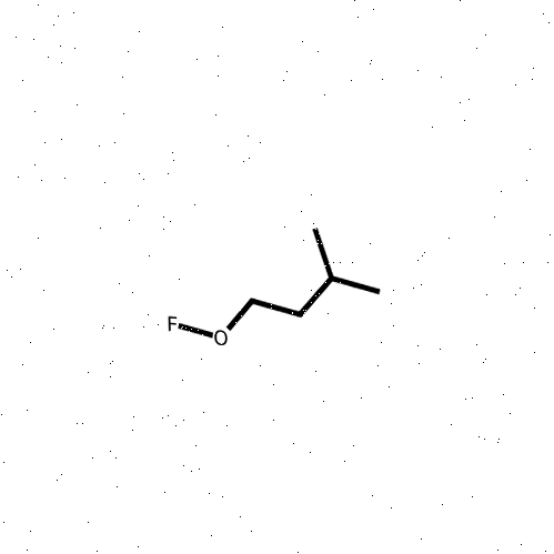 CC(C)CCOF